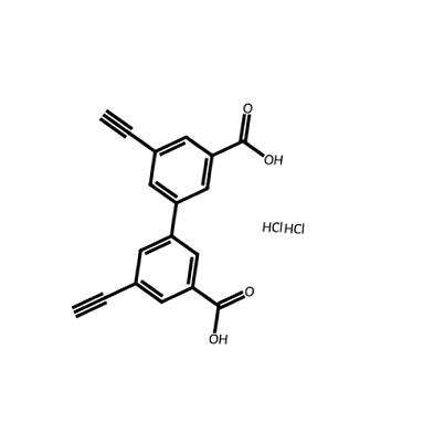 C#Cc1cc(C(=O)O)cc(-c2cc(C#C)cc(C(=O)O)c2)c1.Cl.Cl